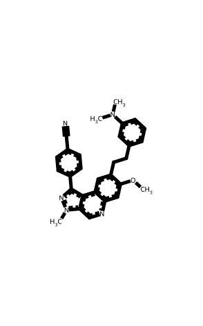 COc1cc2ncc3c(c(-c4ccc(C#N)cc4)nn3C)c2cc1CCc1cccc(N(C)C)c1